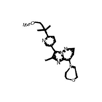 COCC(C)(C)c1ccc(-c2c(C)nc3c(N4CCOCC4)ccnn23)cn1